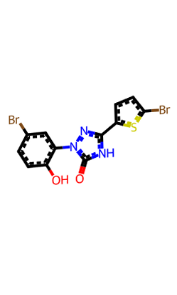 O=c1[nH]c(-c2ccc(Br)s2)nn1-c1cc(Br)ccc1O